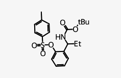 CCC(NC(=O)OC(C)(C)C)c1ccccc1OS(=O)(=O)c1ccc(C)cc1